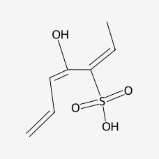 C=C/C=C(O)\C(=C/C)S(=O)(=O)O